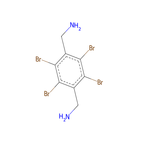 NCc1c(Br)c(Br)c(CN)c(Br)c1Br